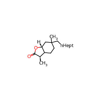 CCCCCCCCC1(C)CCC2[C@@H](C1)OC(=O)[C@@H]2C